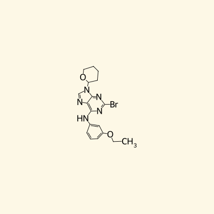 CCOc1cccc(Nc2nc(Br)nc3c2ncn3C2CCCCO2)c1